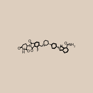 NC(=O)c1cccc2cn(-c3ccc([C@@H]4CCCN(Cc5ccc6c(c5F)C(=O)N(C5CCC(=O)NC5=O)C6=O)C4)cc3)nc12